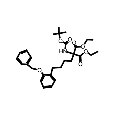 CCOC(=O)C(CCCCc1ccccc1OCc1ccccc1)(NC(=O)OC(C)(C)C)C(=O)OCC